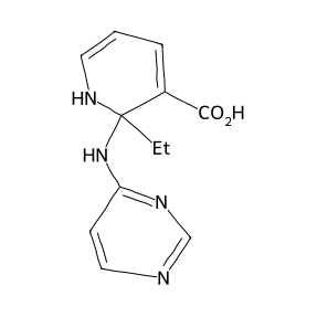 CCC1(Nc2ccncn2)NC=CC=C1C(=O)O